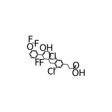 O=C(O)CCc1cc(Cl)c(CC2C=CC(O)=C(c3cc(OC(F)F)ccc3F)C2F)c(Cl)c1